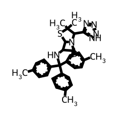 Cc1ccc(C(NC2C(=O)N3C2SC(C)(C)C3c2nnn[nH]2)(c2ccc(C)cc2)c2ccc(C)cc2)cc1